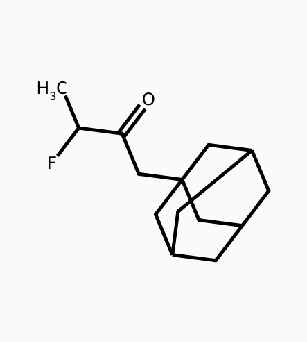 CC(F)C(=O)CC12CC3CC(CC(C3)C1)C2